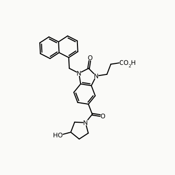 O=C(O)CCn1c(=O)n(Cc2cccc3ccccc23)c2ccc(C(=O)N3CCC(O)C3)cc21